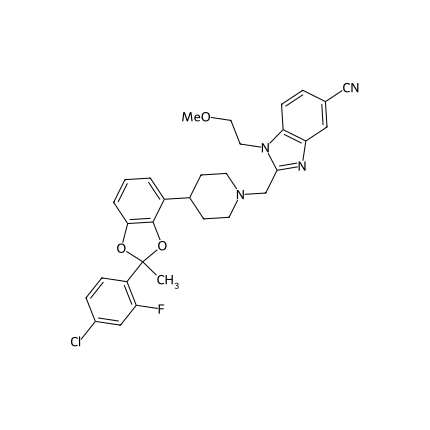 COCCn1c(CN2CCC(c3cccc4c3OC(C)(c3ccc(Cl)cc3F)O4)CC2)nc2cc(C#N)ccc21